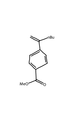 C=C(CCCC)c1ccc(C(=O)OC)cc1